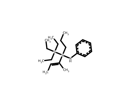 C/C=C(\C)[Si](CCC)(Nc1ccccc1)[Si](CC)(CC)CC